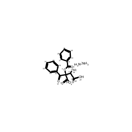 N.N.O=C(OC(C(=O)O)(C(=O)c1ccccc1)C(O)C(=O)O)c1ccccc1